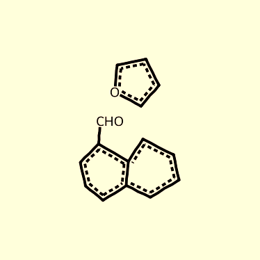 O=Cc1cccc2ccccc12.c1ccoc1